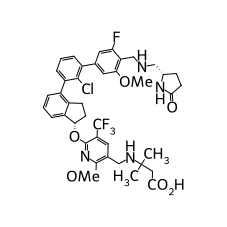 COc1cc(-c2cccc(-c3cccc4c3CC[C@@H]4Oc3nc(OC)c(CNC(C)(C)CC(=O)O)cc3C(F)(F)F)c2Cl)cc(F)c1CNC[C@@H]1CCC(=O)N1